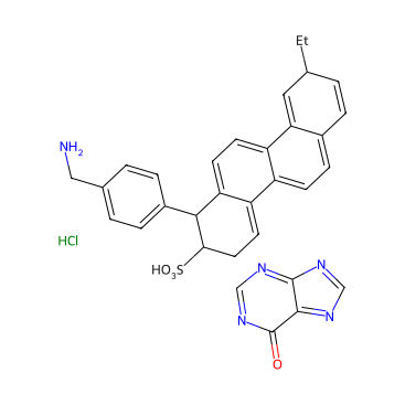 CCC1C=Cc2ccc3c4c(ccc3c2=C1)C(c1ccc(CN)cc1)C(S(=O)(=O)O)CC=4.Cl.O=C1N=CN=C2N=CN=C12